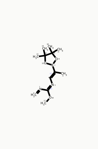 C=N/C(=N\C=C(/C)B1OC(C)(C)C(C)(C)O1)OC